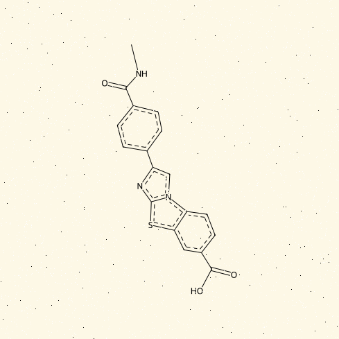 CNC(=O)c1ccc(-c2cn3c(n2)sc2cc(C(=O)O)ccc23)cc1